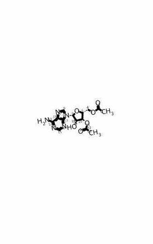 CC(=O)OC[C@H]1O[C@@H](n2cnc3c(N)ncnc32)[C@H](O)[C@@H]1OC(C)=O